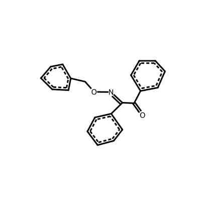 O=C(/C(=N/OCc1ccccc1)c1ccccc1)c1ccccc1